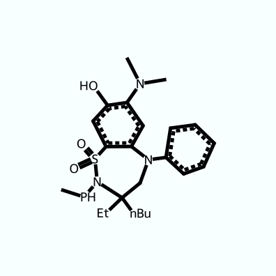 CCCCC1(CC)CN(c2ccccc2)c2cc(N(C)C)c(O)cc2S(=O)(=O)N1PC